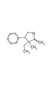 C=C1OCC(c2ccccc2)C1(C)CC